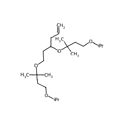 C=CCC(CCOC(C)(C)CCOC(C)C)OC(C)(C)CCOC(C)C